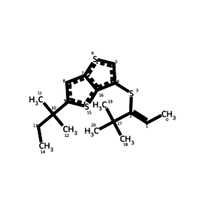 C/C=C(\Sc1csc2cc(C(C)(C)CC)sc12)C(C)(C)C